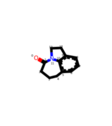 O=C1CCCc2cccc3c2N1CC3